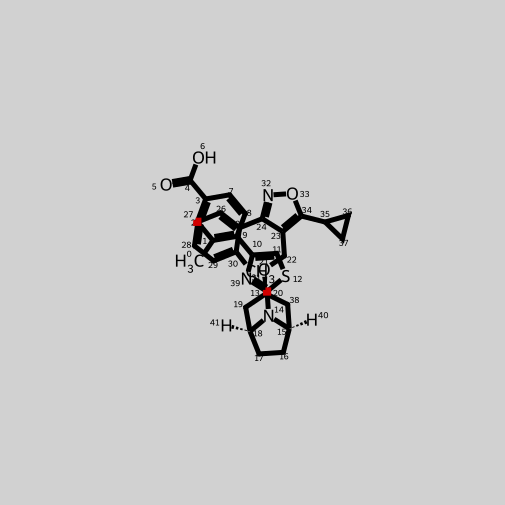 Cc1cc(C(=O)O)ccc1-c1csc(N2[C@@H]3CC[C@H]2C[C@@H](OCc2c(-c4ccccc4C)noc2C2CC2)C3)n1